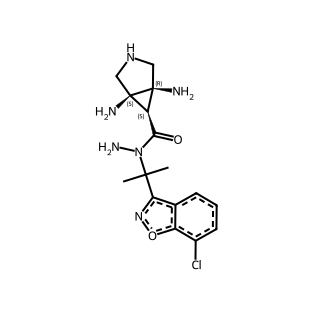 CC(C)(c1noc2c(Cl)cccc12)N(N)C(=O)[C@H]1[C@]2(N)CNC[C@]12N